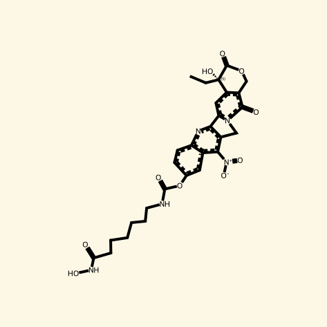 CC[C@@]1(O)C(=O)OCc2c1cc1n(c2=O)Cc2c-1nc1ccc(OC(=O)NCCCCCCC(=O)NO)cc1c2[N+](=O)[O-]